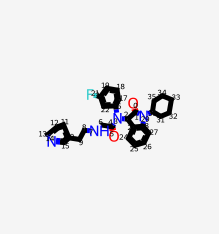 O=C1C(N(C(=O)CNCCc2cccnc2)c2cccc(F)c2)c2ccccc2N1C1CCCCC1